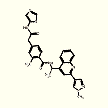 Cc1cc(CC(=O)Nc2cncs2)ccc1C(=O)N[C@H](C)c1cc(-c2cnn(C)c2)nc2ccccc12